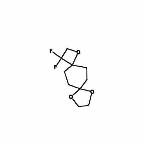 FC1(F)COC12CCC1(CC2)OCCO1